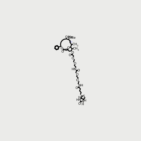 COC1/C=C/C(C)C2OC(O)(CC(=O)OC(c3ccccc3)CCCCC1OC)CC(OC(=O)COCCOCCNC(=O)COCCOCCNC(=O)CCCC[C@@H]1SC[C@@H]3NC(=O)N[C@@H]31)C2C